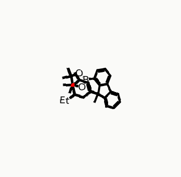 CCC1CC(C2(C)c3ccccc3-c3cccc(B4OC(C)(C)C(C)(C)O4)c32)=CC(C)C1